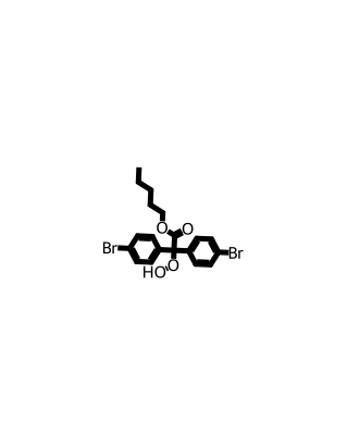 CCCCCOC(=O)C(OO)(c1ccc(Br)cc1)c1ccc(Br)cc1